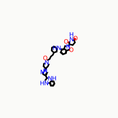 O=C1CCC(N2Cc3c(NC4CCCC(CCCC(=O)N5CCC(n6cc(C7CNc8ccccc8N7)cn6)CC5)C4)cccc3C2=O)C(=O)N1